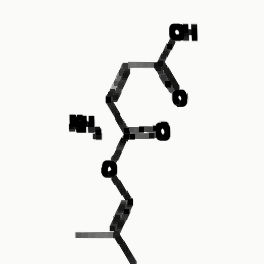 CC(C)=COC(=O)/C=C\C(=O)O.N